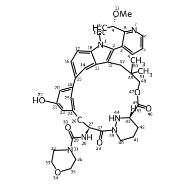 CCn1c(-c2cccnc2[C@H](C)OC)c2c3cc(ccc31)-c1cc(O)cc(c1)C[C@H](NC(=O)N1CCOCC1)C(=O)N1CCC[C@H](N1)C(=O)OCC(C)(C)C2